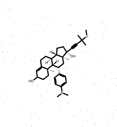 COC(C)(C)C#C[C@]1(O)CC[C@H]2[C@@H]3CCC4=CC(O)CC[C@]4(C)[C@H]3[C@@H](c3ccc(N(C)C)cc3)C[C@@]21C